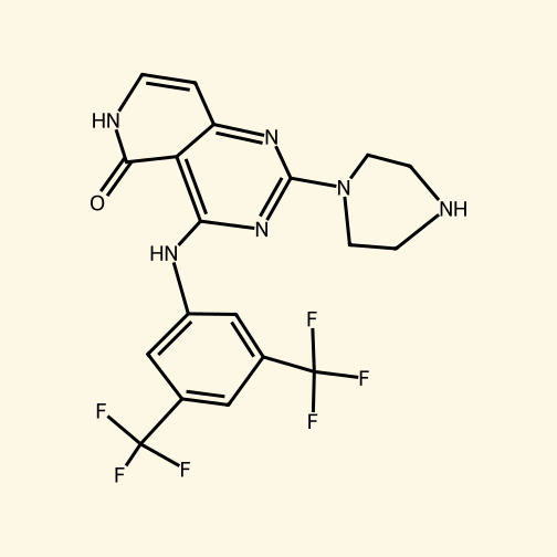 O=c1[nH]ccc2nc(N3CCNCC3)nc(Nc3cc(C(F)(F)F)cc(C(F)(F)F)c3)c12